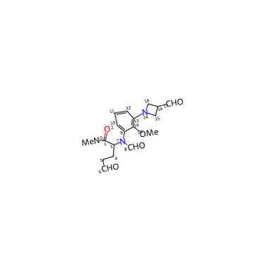 CNC(=O)C(CCC=O)N(C=O)c1cccc(N2CC(C=O)C2)c1OC